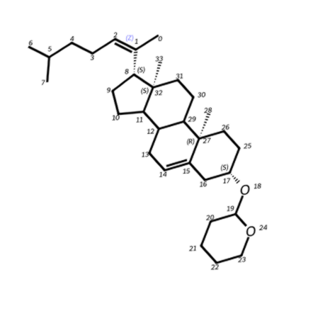 C/C(=C/CCC(C)C)[C@H]1CCC2C3CC=C4C[C@@H](OC5CCCCO5)CC[C@]4(C)C3CC[C@@]21C